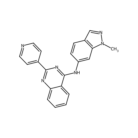 Cn1ncc2ccc(Nc3nc(-c4ccncc4)nc4ccccc34)cc21